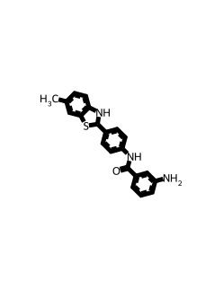 Cc1ccc2c(c1)SC(c1ccc(NC(=O)c3cccc(N)c3)cc1)N2